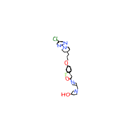 O=C(Cc1ccc(OCCCC2CCN(c3ncc(Cl)cn3)CC2)cc1F)N1CC(CN2CC[C@@H](O)C2)C1